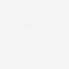 O=C(O)C1CN(C(=O)c2cc(OCc3ccccc3)c(OCc3ccccc3)c(OCc3ccccc3)c2)CCN1S(=O)(=O)c1ccc([N+](=O)[O-])cc1